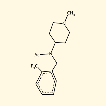 CC(=O)N(Cc1ccccc1C(F)(F)F)C1CCN(C)CC1